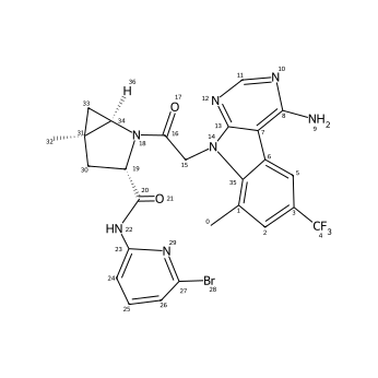 Cc1cc(C(F)(F)F)cc2c3c(N)ncnc3n(CC(=O)N3[C@H](C(=O)Nc4cccc(Br)n4)C[C@@]4(C)C[C@@H]34)c12